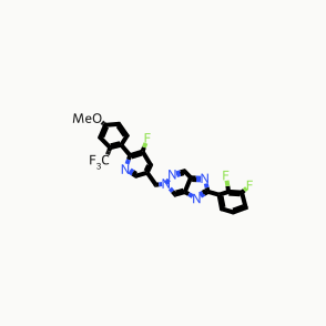 COc1ccc(-c2ncc(Cn3cc4nc(-c5cccc(F)c5F)nc-4cn3)cc2F)c(C(F)(F)F)c1